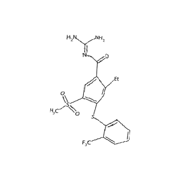 CCc1cc(Sc2ccccc2C(F)(F)F)c(S(C)(=O)=O)cc1C(=O)N=C(N)N